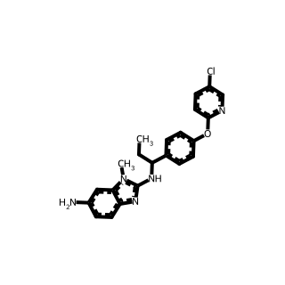 CCC(Nc1nc2ccc(N)cc2n1C)c1ccc(Oc2ccc(Cl)cn2)cc1